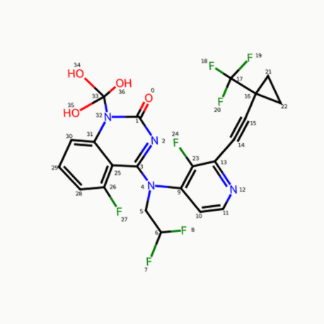 O=c1nc(N(CC(F)F)c2ccnc(C#CC3(C(F)(F)F)CC3)c2F)c2c(F)cccc2n1C(O)(O)O